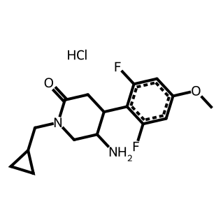 COc1cc(F)c(C2CC(=O)N(CC3CC3)CC2N)c(F)c1.Cl